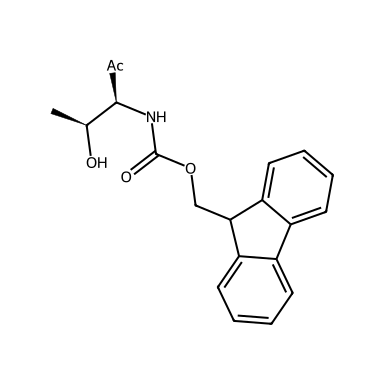 CC(=O)[C@@H](NC(=O)OCC1c2ccccc2-c2ccccc21)[C@H](C)O